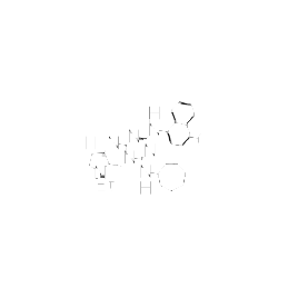 CCN1CCCC1CN1C(NC2CCCCCC2)=NC(Nc2ccc(Cl)c3ccccc23)=NC1N